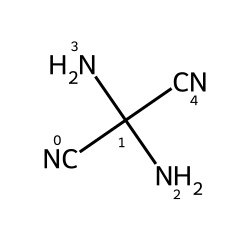 N#CC(N)(N)C#N